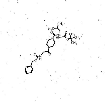 CC(C)C[C@H](NC(=O)OC(C)(C)C)C(=O)N1CCN(C(=O)CNC(=O)OCc2ccccc2)CC1